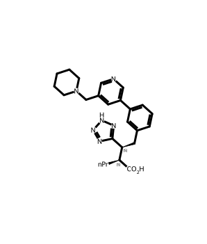 CCC[C@H](C(=O)O)[C@H](Cc1cccc(-c2cncc(CN3CCCCC3)c2)c1)c1nn[nH]n1